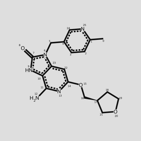 Cc1ccc(Cn2c(=O)[nH]c3c(N)nc(OC[C@H]4CCOC4)cc32)cn1